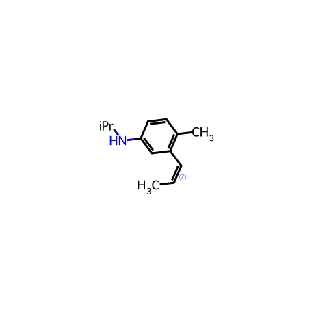 C/C=C\c1cc(NC(C)C)ccc1C